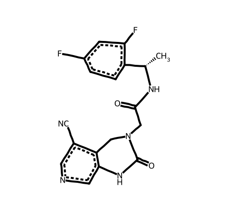 C[C@H](NC(=O)CN1Cc2c(C#N)cncc2NC1=O)c1ccc(F)cc1F